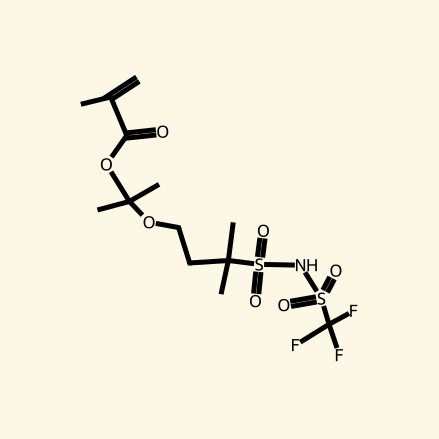 C=C(C)C(=O)OC(C)(C)OCCC(C)(C)S(=O)(=O)NS(=O)(=O)C(F)(F)F